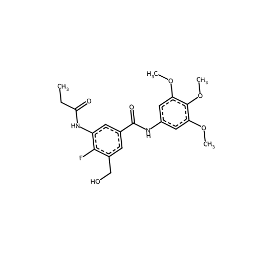 CCC(=O)Nc1cc(C(=O)Nc2cc(OC)c(OC)c(OC)c2)cc(CO)c1F